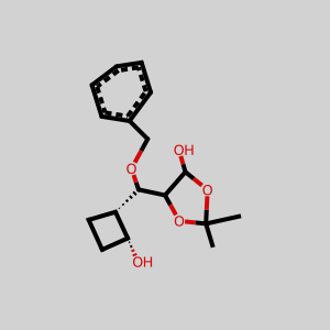 CC1(C)OC(O)C(C(OCc2ccccc2)[C@H]2CC[C@H]2O)O1